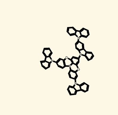 c1ccc2c(c1)c1ccccc1n2-c1ccc2c(c1)Oc1cc(-n3c4ccccc4c4cc(-n5c6ccccc6c6ccccc65)ccc43)cc3c1B2c1ccc(-n2c4ccccc4c4ccccc42)cc1O3